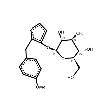 COc1ccc(Cc2sccc2O[C@@H]2O[C@H](CO)[C@@H](O)[C@H](C)[C@H]2O)cc1